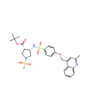 Cc1cc(COc2ccc(S(=O)(=O)N[C@@H]3CN(S(C)(=O)=O)C[C@@H]3C(=O)OC(C)(C)C)cc2)c2ccccc2n1